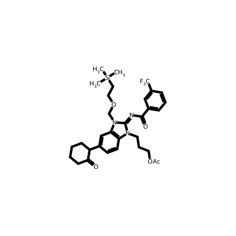 CC(=O)OCCCn1c(=NC(=O)c2cccc(C(F)(F)F)c2)n(COCC[Si](C)(C)C)c2cc(C3CCCCC3=O)ccc21